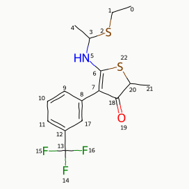 CCSC(C)NC1=C(c2cccc(C(F)(F)F)c2)C(=O)C(C)S1